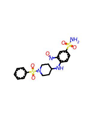 NS(=O)(=O)c1ccc(NC2CCN(S(=O)(=O)c3ccccc3)CC2)c(N=O)c1